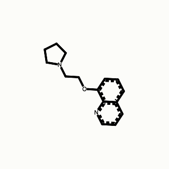 c1cnc2c(OCCN3CCCC3)cccc2c1